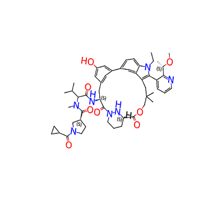 CCn1c(-c2cccnc2[C@H](C)OC)c2c3cc(ccc31)-c1cc(O)cc(c1)C[C@H](NC(=O)C(C(C)C)N(C)C(=O)[C@H]1CCN(C(=O)C3CC3)C1)C(=O)N1CCC[C@H](N1)C(=O)OCC(C)(C)C2